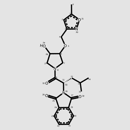 Cc1cc(COC2CN(C(=O)[C@H](CC(C)C)N3C(=O)c4ccccc4C3=O)CC2O)no1